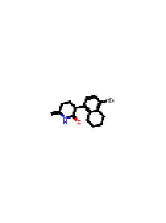 C=C1CCC(c2ccc(C(C)(C)C)c3c2CCCC3)C(=O)N1